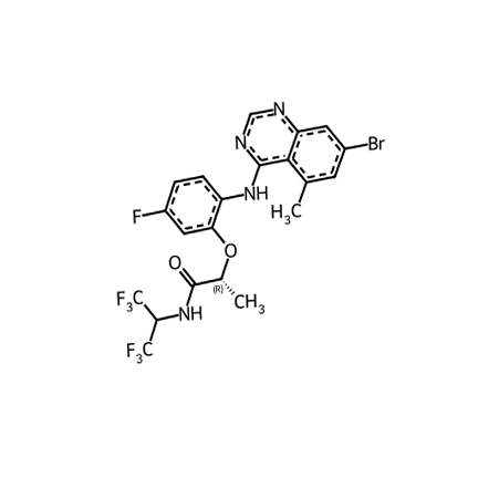 Cc1cc(Br)cc2ncnc(Nc3ccc(F)cc3O[C@H](C)C(=O)NC(C(F)(F)F)C(F)(F)F)c12